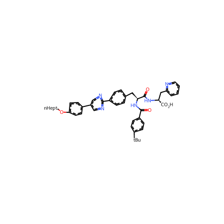 CCCCCCCOc1ccc(-c2cnc(-c3ccc(C[C@H](NC(=O)c4ccc(C(C)(C)C)cc4)C(=O)N[C@@H](Cc4ccccn4)C(=O)O)cc3)nc2)cc1